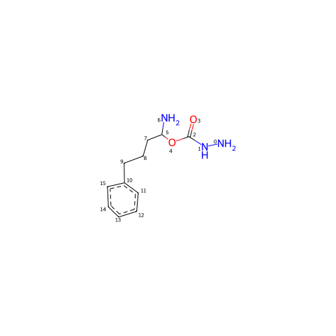 NNC(=O)OC(N)CCCc1ccccc1